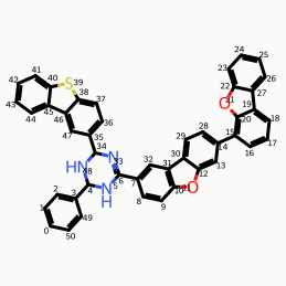 c1ccc(C2NC(c3ccc4oc5cc(-c6cccc7c6oc6ccccc67)ccc5c4c3)=NC(c3ccc4sc5ccccc5c4c3)N2)cc1